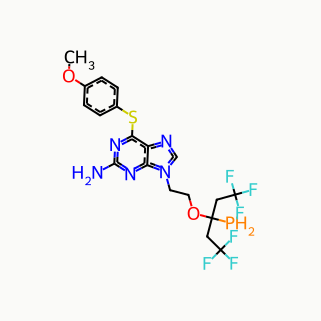 COc1ccc(Sc2nc(N)nc3c2ncn3CCOC(P)(CC(F)(F)F)CC(F)(F)F)cc1